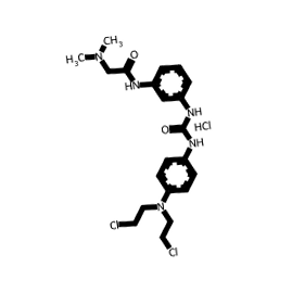 CN(C)CC(=O)Nc1cccc(NC(=O)Nc2ccc(N(CCCl)CCCl)cc2)c1.Cl